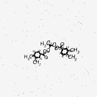 C=C(OOC(=O)c1ccc(C)c(C)c1)OOC(=O)c1ccc(C)c(C)c1